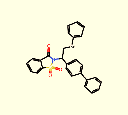 O=C1c2ccccc2S(=O)(=O)N1C(C[Se]c1ccccc1)c1ccc(-c2ccccc2)cc1